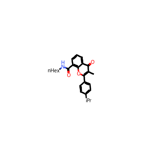 CCCCCCNC(=O)c1cccc2c(=O)c(C)c(-c3ccc(C(C)C)cc3)oc12